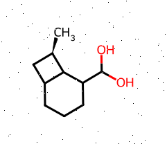 C[C@@H]1CC2CCCC(C(O)O)C21